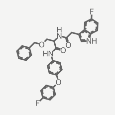 O=C(Cc1c[nH]c2ccc(F)cc12)NC(COCc1ccccc1)C(=O)Nc1ccc(Oc2ccc(F)cc2)cc1